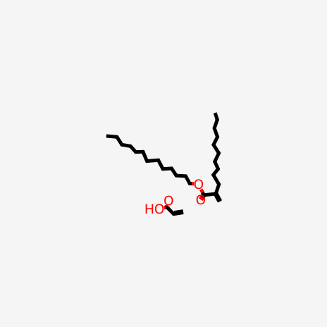 C=C(CCCCCCCCCC)C(=O)OCCCCCCCCCCCCC.C=CC(=O)O